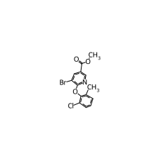 COC(=O)c1cnc(Oc2c(C)cccc2Cl)c(Br)c1